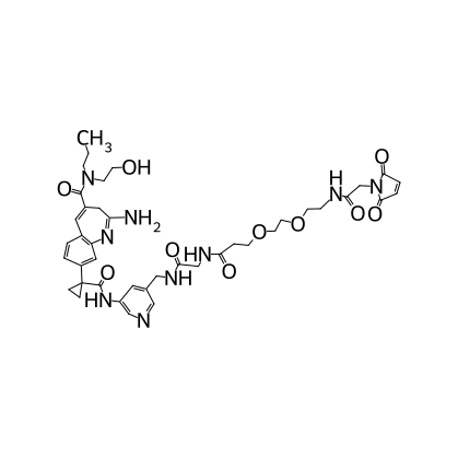 CCCN(CCO)C(=O)C1=Cc2ccc(C3(C(=O)Nc4cncc(CNC(=O)CNC(=O)CCOCCOCCNC(=O)CN5C(=O)C=CC5=O)c4)CC3)cc2N=C(N)C1